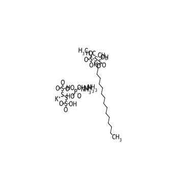 CCCCCCCCCCCCCCCC[SH](C)(C)(S(=O)(=O)O)S(=O)(=O)OC.N.N.N.O=P(O)(O)O.O=S(=O)([O-])SSS(=O)(=O)O.[K+]